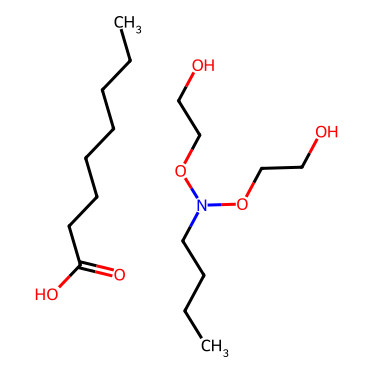 CCCCCCCC(=O)O.CCCCN(OCCO)OCCO